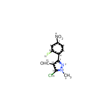 Cn1nc(-c2ccc([N+](=O)[O-])cc2F)c(C=O)c1Cl